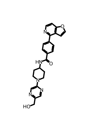 O=C(NC1CCN(c2cnc(CO)cn2)CC1)c1ccc(-c2nccc3occc23)cc1